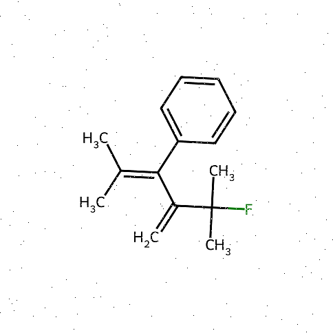 C=C(C(=C(C)C)c1ccccc1)C(C)(C)F